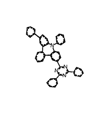 c1ccc(-c2ccc3c(c2)-c2ccccc2-c2cc(-c4nc(-c5ccccc5)nc(-c5ccccc5)n4)ccc2N3c2ccccc2)cc1